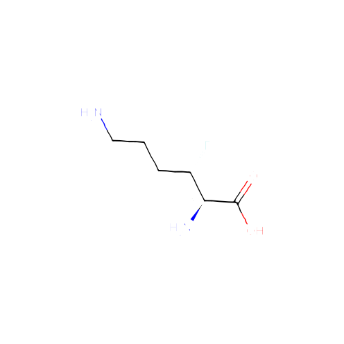 NCCC[C@H](F)[C@H](N)C(=O)O